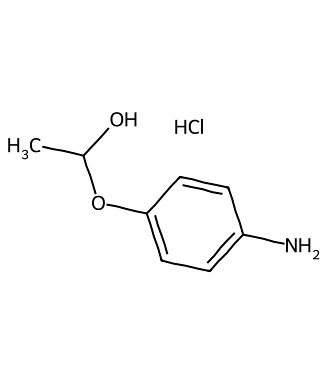 CC(O)Oc1ccc(N)cc1.Cl